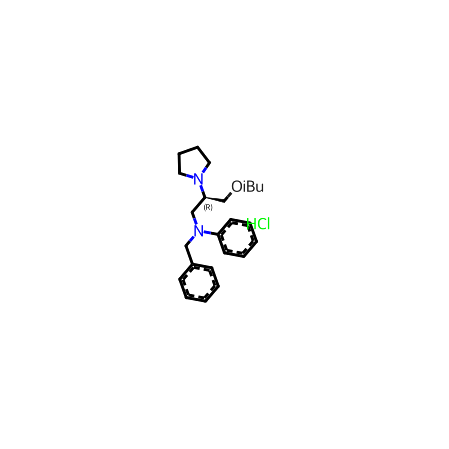 CC(C)COC[C@@H](CN(Cc1ccccc1)c1ccccc1)N1CCCC1.Cl